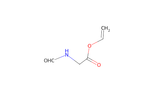 C=COC(=O)CNC=O